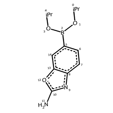 CC(C)OB(OC(C)C)c1ccc2nc(N)oc2c1